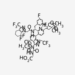 CC(C)(CCc1ccc(-c2ccc(Cl)c3c(N(C(=O)NCC(=O)O)S(C)(=O)=O)nn(CC(F)(F)F)c23)c([C@H](Cc2cc(F)cc(F)c2)NC(=O)Cn2nc(C(F)(F)F)c3c2C(F)(F)CCC3)n1)S(C)(=O)=O